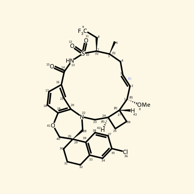 CO[C@H]1/C=C/C[C@H](C)[C@H](CC(F)(F)F)S(=O)(=O)NC(=O)c2ccc3c(c2)N(C[C@@H]2CC[C@H]21)C[C@@]1(CCCc2cc(Cl)ccc21)CO3